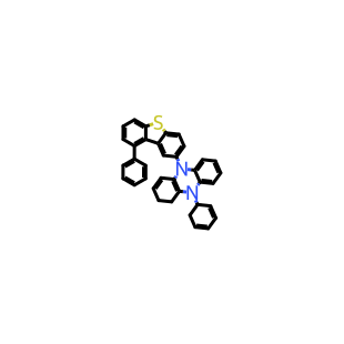 C1=CCC(N2C3=C(C=CCC3)N(c3ccc4sc5cccc(-c6ccccc6)c5c4c3)c3ccccc32)C=C1